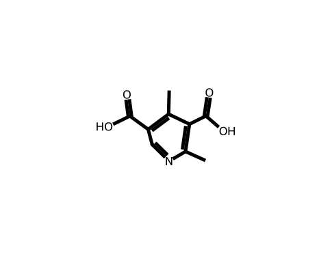 Cc1ncc(C(=O)O)c(C)c1C(=O)O